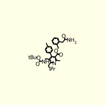 Cc1ccc(-c2c(CNC(=O)OC(C)(C)C)c(CC(C)C)nc(C)c2C(=O)OCc2ccccc2CC(N)=O)cc1